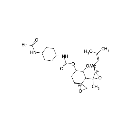 CCC(=O)N[C@H]1CC[C@H](NC(=O)OC2CC[C@]3(CO3)C(C3(C)O[C@@H]3CC=C(C)C)C2OC)CC1